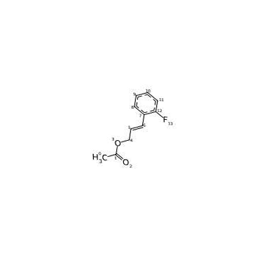 CC(=O)OCC=Cc1ccccc1F